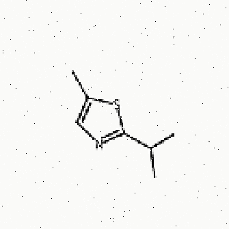 Cc1cnc(C(C)C)s1